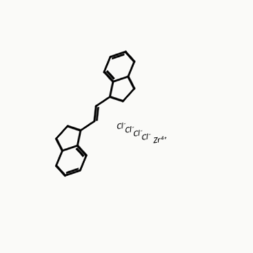 C1=CCC2CCC(C=CC3CCC4CC=CC=C34)C2=C1.[Cl-].[Cl-].[Cl-].[Cl-].[Zr+4]